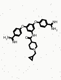 N=C(N)c1ccc(Oc2cc(NC(=O)C3CCN(CC4CC4)CC3)cc(Oc3ccc(C(=N)N)cc3)c2)cc1